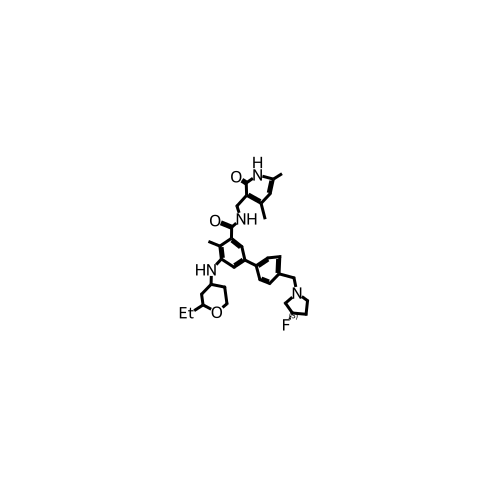 CCC1CC(Nc2cc(-c3ccc(CN4CC[C@H](F)C4)cc3)cc(C(=O)NCc3c(C)cc(C)[nH]c3=O)c2C)CCO1